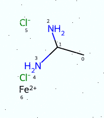 CC(N)N.[Cl-].[Cl-].[Fe+2]